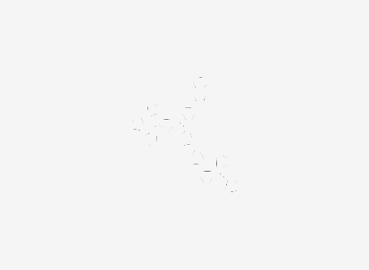 c1ccc(-n2c3ccccc3c3c(-c4ccc(-c5ccc(N(c6ccc(-c7ccc8ccccc8c7)cc6)c6ccc([Si](c7ccccc7)(c7ccccc7)c7ccccc7)cc6)cc5)cc4)cccc32)cc1